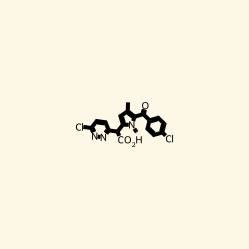 Cc1cc(C(C(=O)O)c2ccc(Cl)nn2)n(C)c1C(=O)c1ccc(Cl)cc1